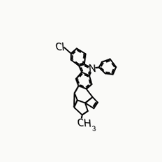 CC1CC23C=CC2c2cc4c(cc2C2C1C23)c1cc(Cl)ccc1n4-c1ccccc1